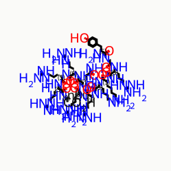 CCCC[C@H](NC(=O)[C@H](CCCNC(=N)N)NC(=O)[C@H](CCCNC(=N)N)NC(=O)[C@H](CCCNC(=N)N)NC(=O)[C@H](CCC(N)=O)NC(=O)[C@H](CCCNC(=N)N)NC(=O)[C@H](CCCNC(=N)N)NC(=O)[C@H](CCCCN)NC(=O)[C@H](CCCCN)NC(=O)[C@H](CCCNC(=N)N)NC(=O)CNC(=O)[C@@H](N)Cc1ccc(O)cc1)C(=O)O